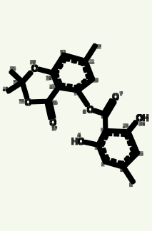 Cc1cc(O)c(C(=O)Oc2cc(C)cc3c2C(=O)OC(C)(C)O3)c(O)c1